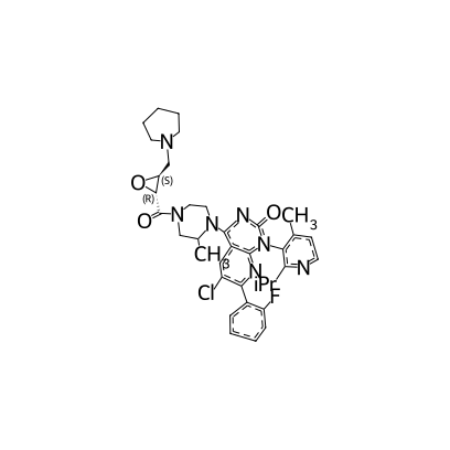 Cc1ccnc(C(C)C)c1-n1c(=O)nc(N2CCN(C(=O)[C@@H]3O[C@H]3CN3CCCCC3)CC2C)c2cc(Cl)c(-c3ccccc3F)nc21